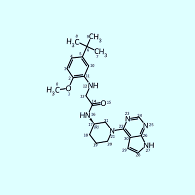 COc1ccc(C(C)(C)C)cc1NCC(=O)N[C@@H]1CCCN(c2ncnc3[nH]ccc23)C1